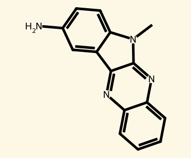 Cn1c2ccc(N)cc2c2nc3ccccc3nc21